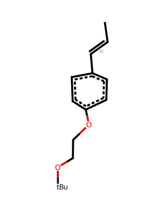 C/C=C/c1ccc(OCCOC(C)(C)C)cc1